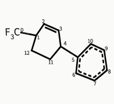 FC(F)(F)C1C=CC(c2ccccc2)CC1